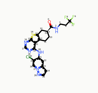 O=C(NCCC(F)(F)F)[C@H]1CCc2c(sc3ncnc(Nc4cc5ccnn5cc4Cl)c23)C1